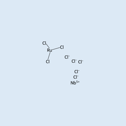 [Cl-].[Cl-].[Cl-].[Cl-].[Cl-].[Cl][Ru]([Cl])[Cl].[Nb+5]